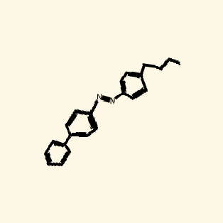 CCCCc1ccc(N=Nc2ccc(-c3ccccc3)cc2)cc1